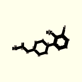 Cc1c(F)cccc1N1CCN(CNO)CC1